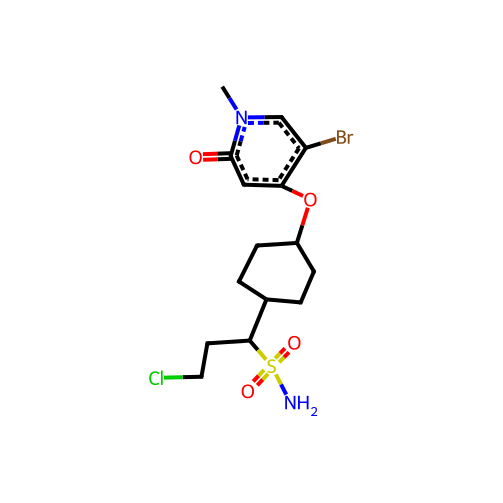 Cn1cc(Br)c(OC2CCC(C(CCCl)S(N)(=O)=O)CC2)cc1=O